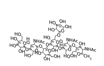 CC(=O)NC1[C@H](OC2C(O)C(O)[C@H](CO)O[C@@H]2O[C@@H]2C(O)[C@H](O[C@@H]3C(CO)O[C@@H](O[C@@H]4C(CO)O[C@@H](C)C(NC(C)=O)[C@H]4O)C(NC(C)=O)[C@H]3O)OC(CO[C@H]3OC(O)[C@@H](O)[C@H](O)C3O)[C@H]2O)OC(CO)[C@@H](O[C@@H]2OC(CO)[C@H](O)[C@H](O)C2O)[C@@H]1O